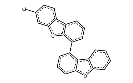 Clc1ccc2c(c1)oc1c(-c3cccc4oc5ccccc5c34)cccc12